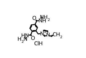 C=Cn1cc[n+](Cc2cc(C(=O)NN)ccc2C(=O)NN)c1.Cl